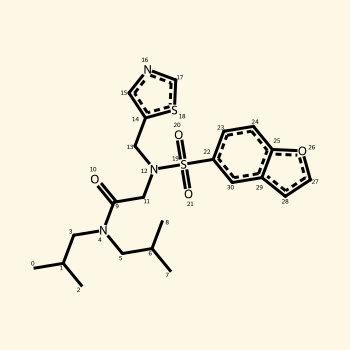 CC(C)CN(CC(C)C)C(=O)CN(Cc1cncs1)S(=O)(=O)c1ccc2occc2c1